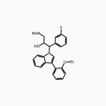 CCOc1ccccc1-c1cn(C(c2cccc(F)c2)C(O)CNC)c2ccccc12